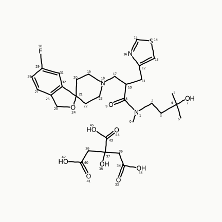 CN(CCC(C)(C)O)C(=O)C(Cc1cscn1)CN1CCC2(CC1)OCc1ccc(F)cc12.O=C(O)CC(O)(CC(=O)O)C(=O)O